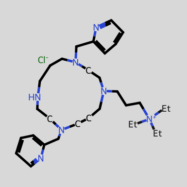 CC[N+](CC)(CC)CCCN1CCCN(Cc2ccccn2)CCNCCCN(Cc2ccccn2)CC1.[Cl-]